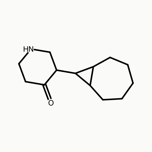 O=C1CCNCC1C1C2CCCCCC21